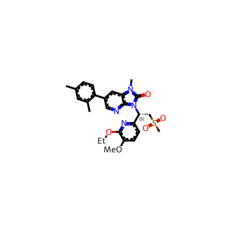 CCOc1nc([C@@H](CS(C)(=O)=O)n2c(=O)n(C)c3cc(-c4ccc(C)cc4C)cnc32)ccc1OC